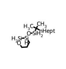 CCCCCCCC(C)(C)[SiH2]O[SiH]1CCCO[SiH2]1